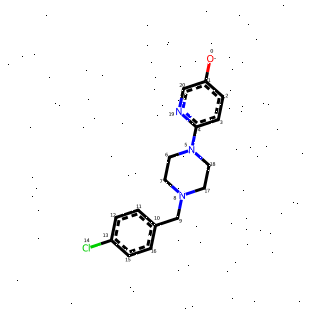 [O]c1ccc(N2CCN(Cc3ccc(Cl)cc3)CC2)nc1